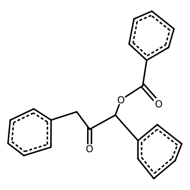 O=C(OC(C(=O)Cc1ccccc1)c1ccccc1)c1ccccc1